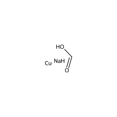 O=CO.[Cu].[NaH]